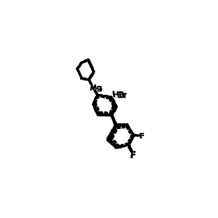 Br.Fc1ccc(-c2cc[c]([Mg][CH]3CCCCC3)cc2)cc1F